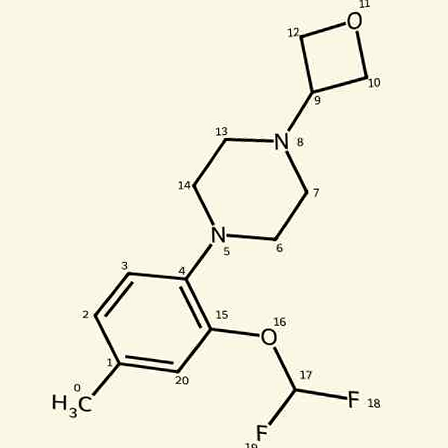 Cc1ccc(N2CCN(C3COC3)CC2)c(OC(F)F)c1